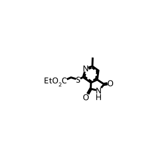 CCOC(=O)CSc1nc(C)cc2c1C(=O)NC2=O